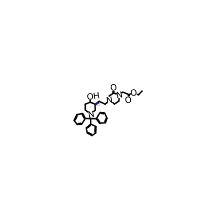 CCOC(=O)CN1CCN(C/C=C2\CN(C(c3ccccc3)(c3ccccc3)c3ccccc3)CCC2O)CC1=O